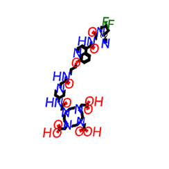 N#C[C@@H]1CC(F)(F)CN1C(=O)CNC(=O)c1ccnc2c(OCCCNC(=O)CN3CCC(NC(=O)CN4CCN(CC(=O)O)CCN(CC(=O)O)CCN(CC(=O)O)CC4)CC3)cccc12